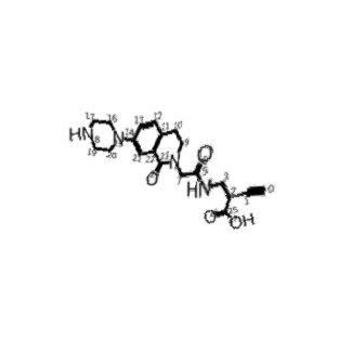 C#C[C@H](CNC(=O)CN1CCc2ccc(N3CCNCC3)cc2C1=O)C(=O)O